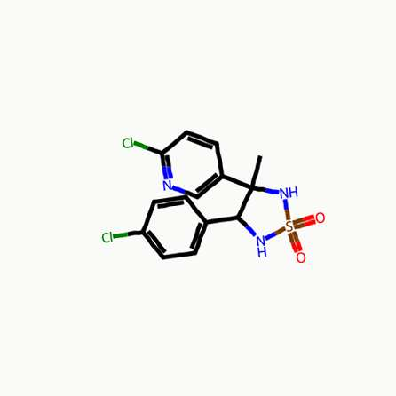 CC1(c2ccc(Cl)nc2)NS(=O)(=O)NC1c1ccc(Cl)cc1